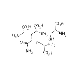 CC(C)C(N)C(=O)O.NC(=O)CCC(N)C(=O)O.NC(CO)C(=O)O.NCC(=O)O